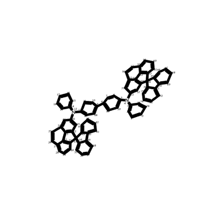 c1ccc(N(c2ccc(-c3ccc(N(c4ccccc4)c4cc5c6c(ccc7cccc(c76)C56c5ccccc5-c5ccccc56)c4)cc3)cc2)c2cc3c4c(ccc5cccc(c54)C34c3ccccc3-c3ccccc34)c2)cc1